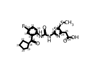 CSc1sc(NC(=O)Nc2ccc(F)cc2C(=O)C2CCCC2)nc1CC(=O)O